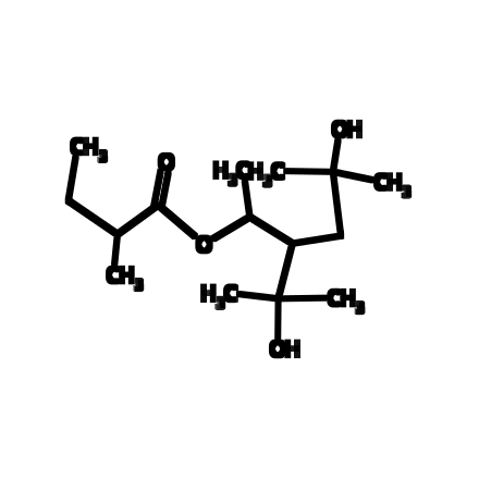 CCC(C)C(=O)OC(C)C(CC(C)(C)O)C(C)(C)O